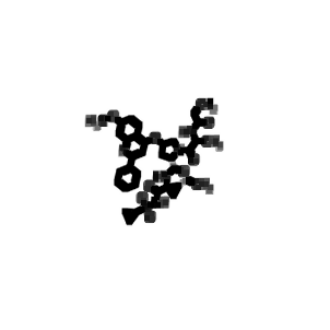 C=CC(=O)NC(C)C(=O)N1C[C@H](Oc2cc(-c3ccccc3)nc3cc(OC)ccc23)C[C@H]1C(=O)N[C@]1(C(=O)NS(=O)(=O)C2CC2)C[C@H]1C=C